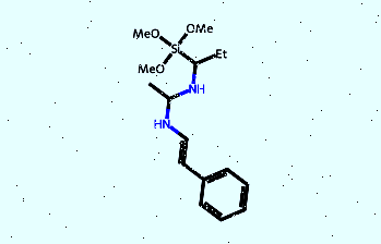 CCC(NC(C)NC=Cc1ccccc1)[Si](OC)(OC)OC